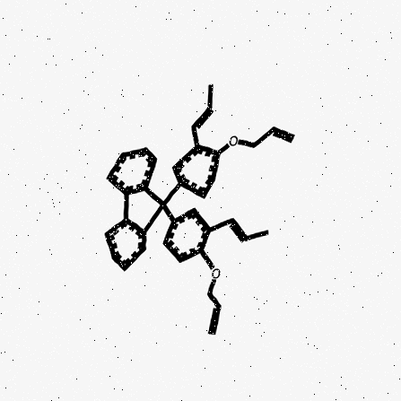 C=CCOc1ccc(C2(c3ccc(OCC=C)c(C=CC)c3)c3ccccc3-c3ccccc32)cc1C=CC